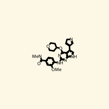 CNC(=O)c1ccc(Nc2nc(OC3CCOCC3)c3c(C4=CCN=C4)c[nH]c3n2)c(OC)c1